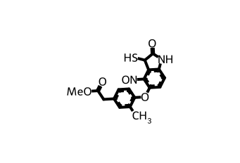 COC(=O)Cc1ccc(Oc2ccc3c(c2N=O)C(S)C(=O)N3)c(C)c1